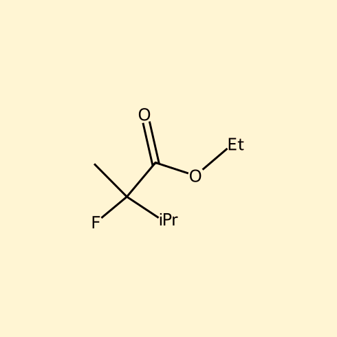 CCOC(=O)C(C)(F)C(C)C